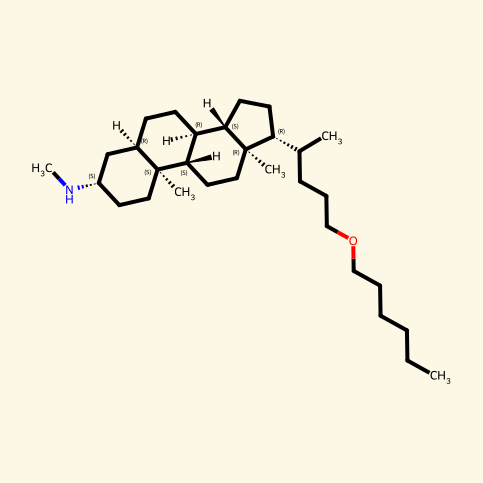 CCCCCCOCCCC(C)[C@H]1CC[C@H]2[C@@H]3CC[C@@H]4C[C@@H](NC)CC[C@]4(C)[C@H]3CC[C@]12C